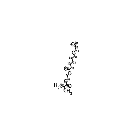 C=C(C)C(=O)OCCOC(=O)CCCCCOCC1CO1